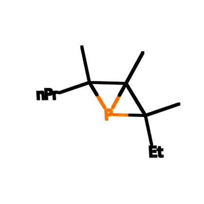 CCCC1(C)P2C(C)(CC)C21C